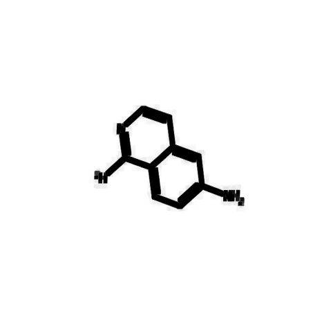 [2H]c1nccc2cc(N)ccc12